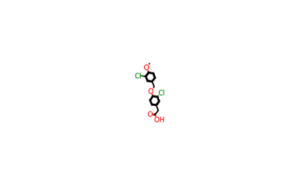 COc1ccc(COc2ccc(CC(=O)O)cc2Cl)cc1Cl